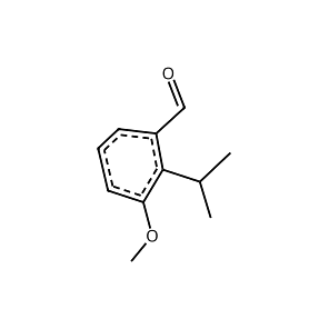 COc1cccc(C=O)c1C(C)C